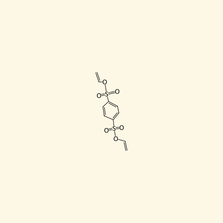 C=COS(=O)(=O)c1ccc(S(=O)(=O)OC=C)cc1